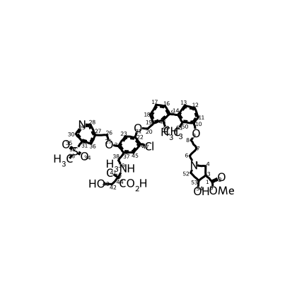 COC(=O)C1CN(CCCOc2cccc(-c3cccc(COc4cc(OCc5cncc(S(C)(=O)=O)c5)c(CNC(C)(CO)C(=O)O)cc4Cl)c3C)c2C)CC1O